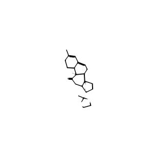 CC1=CC2=CC[C@H]3[C@@H]4CC[C@H](C5(C)OCCO5)[C@@]4(C)CC(=O)[C@@H]3[C@@]2(C)CC1